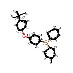 Cc1ccc([S+](c2ccccc2)c2ccc(Oc3ccc(C(C)(C)C)cc3)cc2)cc1